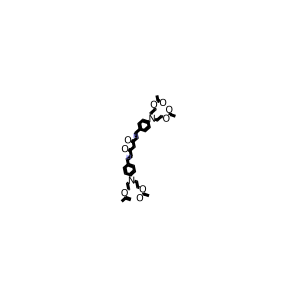 C=C(C)OCCN(CCOC(C)=O)c1ccc(/C=C/C(=O)CC(=O)/C=C/c2ccc(N(CCOC(C)=O)CCOC(C)=O)cc2)cc1